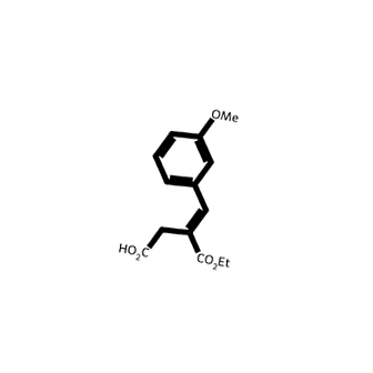 CCOC(=O)/C(=C/c1cccc(OC)c1)CC(=O)O